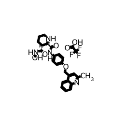 Cc1cc(COc2ccc(NC(=O)[C@@H]3NCCC[C@H]3C(=O)NO)cc2)c2ccccc2n1.O=C(O)C(F)(F)F